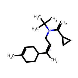 C=C(C1CC1)N(C/C=C(/C)C1CC=C(C)CC1)C(C)(C)C